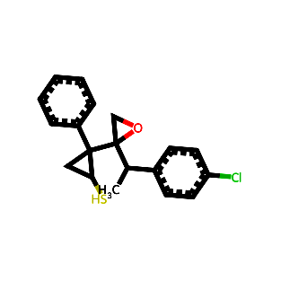 CC(c1ccc(Cl)cc1)C1(C2(c3ccccc3)CC2S)CO1